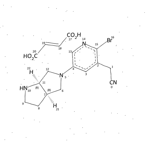 N#CCc1cc(N2C[C@H]3CCN[C@H]3C2)cnc1Br.O=C(O)C=CC(=O)O